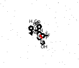 CS(=O)(=O)c1ccc2nc(-c3cccc(C(F)(F)F)c3)c(CN3CCC(N4CC[C@H](O)C4)CC3)c(C(=O)NC3(c4ccccc4)CC3)c2c1